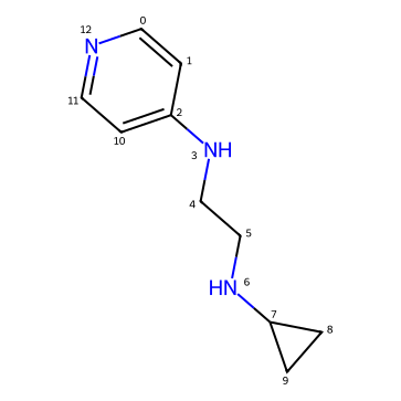 c1cc(NCCNC2CC2)ccn1